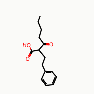 CCCCC(=O)C(CCc1ccccc1)C(=O)O